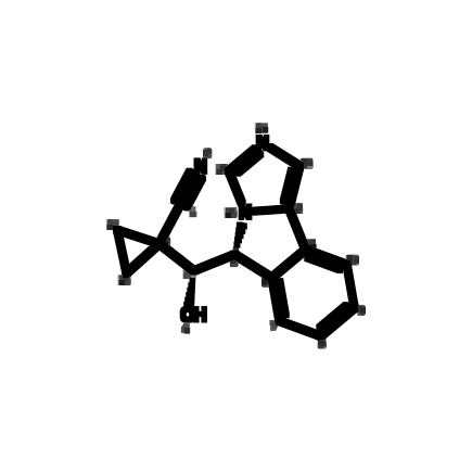 N#CC1([C@@H](O)[C@H]2c3ccccc3-c3cncn32)CC1